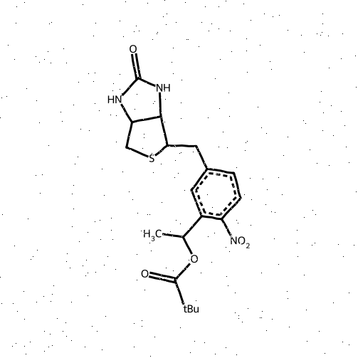 CC(OC(=O)C(C)(C)C)c1cc(CC2SCC3NC(=O)NC32)ccc1[N+](=O)[O-]